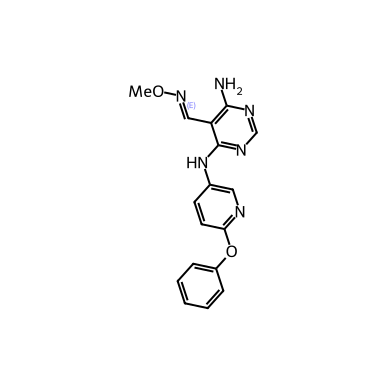 CO/N=C/c1c(N)ncnc1Nc1ccc(Oc2ccccc2)nc1